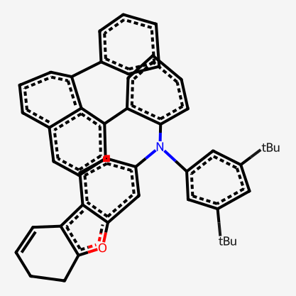 CC(C)(C)c1cc(N(c2ccc3c4c(oc3c2)CCC=C4)c2ccccc2-c2cccc3cccc(-c4ccccc4)c23)cc(C(C)(C)C)c1